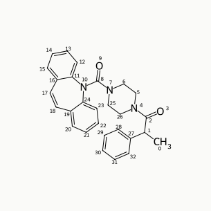 CC(C(=O)N1CCN(C(=O)N2c3ccccc3C=Cc3ccccc32)CC1)c1ccccc1